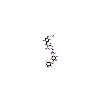 CC1CN(CC(=O)Nc2ccc(Oc3ccccc3)cc2)CC(C)N1Cc1ccc(C(=O)O)cc1